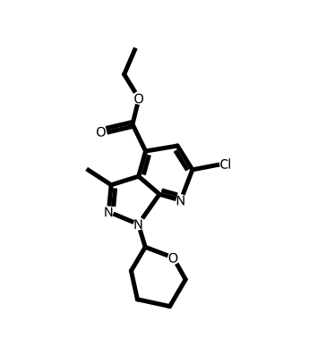 CCOC(=O)c1cc(Cl)nc2c1c(C)nn2C1CCCCO1